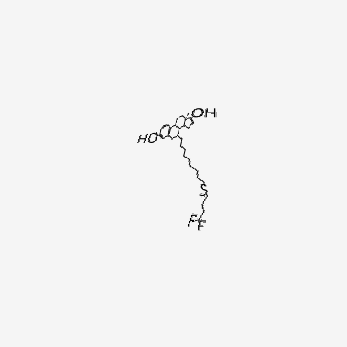 C[C@]12CCC3c4ccc(O)cc4CC(CCCCCCCCCSCCCC(F)F)C3C1CC[C@@H]2O